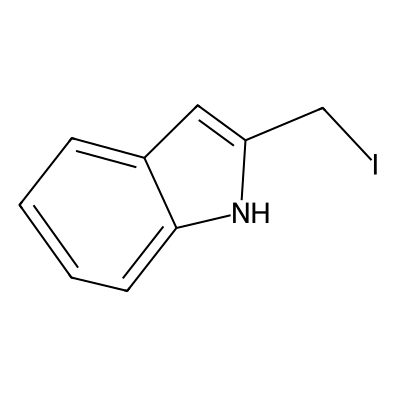 ICc1cc2ccccc2[nH]1